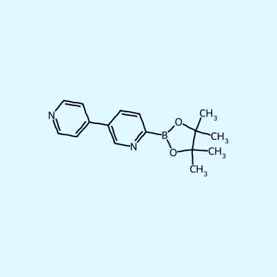 CC1(C)OB(c2ccc(-c3ccncc3)cn2)OC1(C)C